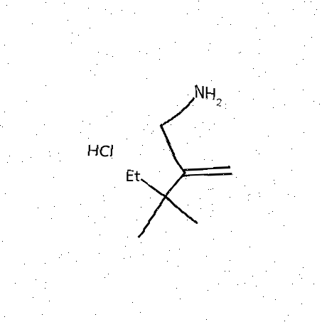 C=C(CN)C(C)(C)CC.Cl